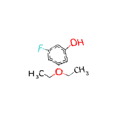 CCOCC.Oc1cccc(F)c1